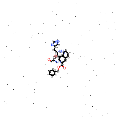 C[C@@H](C=O)Nc1c(C(=O)OCc2ccccc2)cc2ccccc2c1C(=O)[C@@H](N)Cc1c[nH]cn1